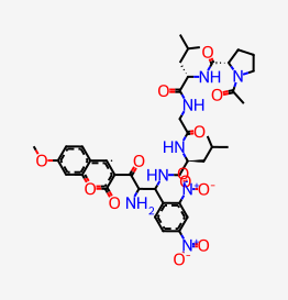 COc1ccc2[c]c(C(=O)C(N)C(NC(=O)[C@H](CC(C)C)NC(=O)CNC(=O)[C@H](CC(C)C)NC(=O)[C@@H]3CCCN3C(C)=O)c3ccc([N+](=O)[O-])cc3[N+](=O)[O-])c(=O)oc2c1